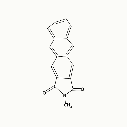 CN1C(=O)c2cc3cc4ccccc4cc3cc2C1=O